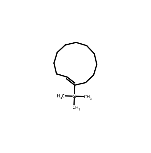 C[Si](C)(C)/C1=C\CCCCCCCCCC1